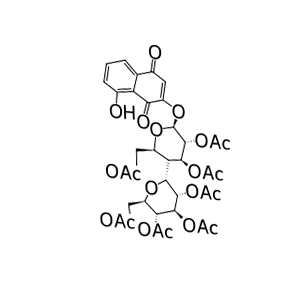 CC(=O)OC[C@H]1O[C@@H](OC2=CC(=O)c3cccc(O)c3C2=O)[C@H](OC(C)=O)[C@@H](OC(C)=O)C1[C@H]1O[C@H](COC(C)=O)[C@@H](OC(C)=O)[C@H](OC(C)=O)[C@H]1OC(C)=O